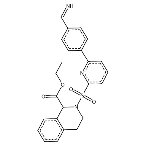 CCOC(=O)C1c2ccccc2CCN1S(=O)(=O)c1cccc(-c2ccc(C=N)cc2)n1